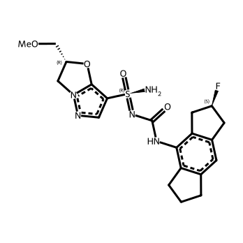 COC[C@H]1Cn2ncc([S@](N)(=O)=NC(=O)Nc3c4c(cc5c3C[C@@H](F)C5)CCC4)c2O1